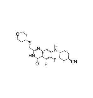 N#C[C@H]1CC[C@H](Nc2cc3nc(CSC4CCOCC4)[nH]c(=O)c3c(F)c2F)CC1